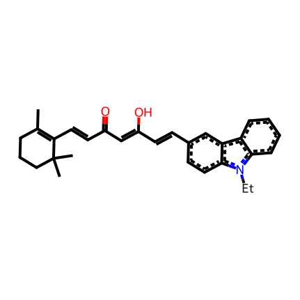 CCn1c2ccccc2c2cc(/C=C/C(O)=C/C(=O)/C=C/C3=C(C)CCCC3(C)C)ccc21